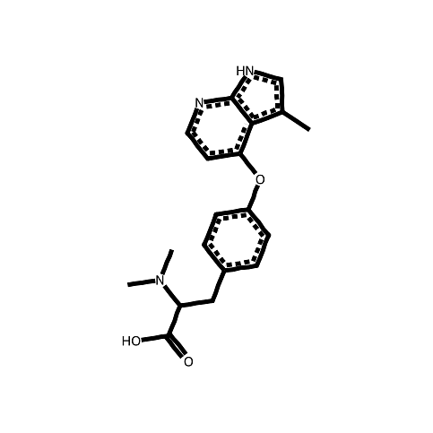 Cc1c[nH]c2nccc(Oc3ccc(CC(C(=O)O)N(C)C)cc3)c12